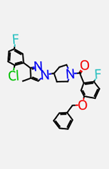 Cc1cn(C2CCN(C(=O)c3cc(OCc4ccccc4)ccc3F)CC2)nc1-c1cc(F)ccc1Cl